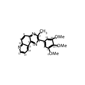 COc1cc(-c2nc3c(ccc4ncccc43)nc2C)cc(OC)c1OC